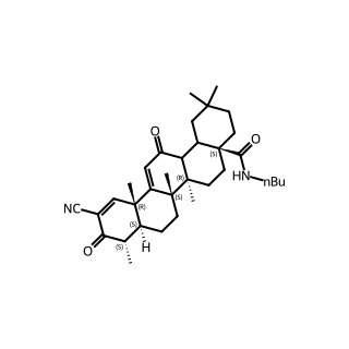 CCCCNC(=O)[C@]12CCC(C)(C)CC1C1C(=O)C=C3[C@@]4(C)C=C(C#N)C(=O)[C@@H](C)[C@@H]4CC[C@@]3(C)[C@]1(C)CC2